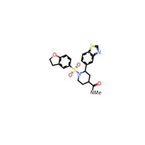 CNC(=O)C1CCN(S(=O)(=O)c2ccc3c(c2)CCO3)C(c2ccc3scnc3c2)C1